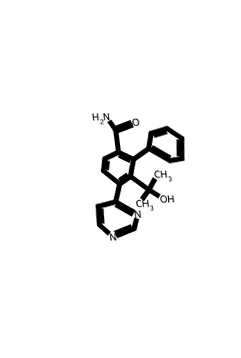 CC(C)(O)c1c(-c2ccncn2)ccc(C(N)=O)c1-c1ccccc1